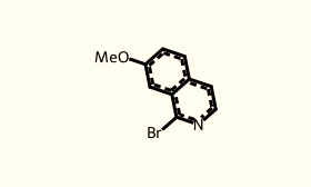 COc1ccc2ccnc(Br)c2c1